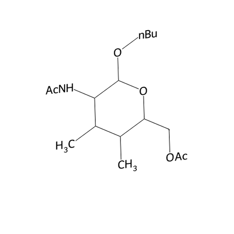 CCCCOC1OC(COC(C)=O)C(C)C(C)C1NC(C)=O